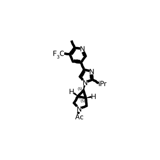 CC(=O)N1C[C@@H]2[C@H](C1)[C@H]2n1cc(-c2cnc(C)c(C(F)(F)F)c2)nc1C(C)C